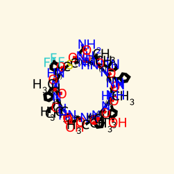 CCCC[C@H]1C(=O)N(C)CC(=O)N[C@@H](CC(=O)O)C(=O)N[C@@H](C(C)C)C(=O)N(C)[C@@H](Cc2ccccc2)C(=O)N[C@@H](Cc2ccc(O)cc2)C(=O)N(C)CC(=O)N[C@@H](Cc2c[nH]c3ccccc23)C(=O)N[C@@H](Cc2cccnc2)C(=O)N[C@@H](CC(C)C)C(=O)N[C@H](C(=O)NCC(N)=O)CSCC(=O)N[C@@H](Cc2cc(F)c(F)c(F)c2)C(=O)N(C)[C@H]2Cc3cccc(c3)N1C2=O